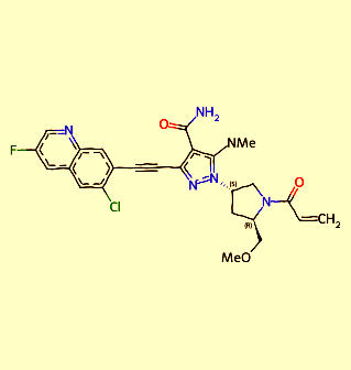 C=CC(=O)N1C[C@@H](n2nc(C#Cc3cc4ncc(F)cc4cc3Cl)c(C(N)=O)c2NC)C[C@@H]1COC